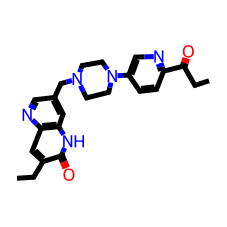 CCC(=O)c1ccc(N2CCN(Cc3cnc4cc(CC)c(=O)[nH]c4c3)CC2)cn1